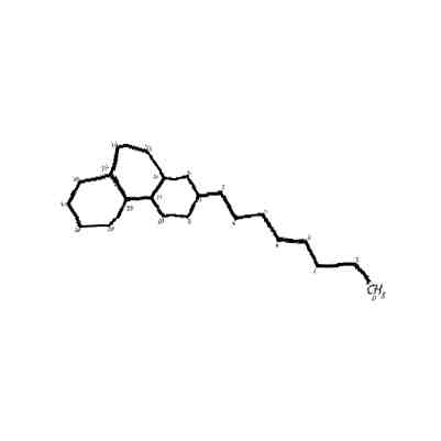 CCCCCCCCC1CCC2C(CCC3CCCCC32)C1